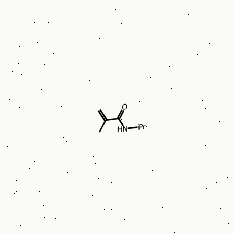 C=C(C)C(=O)N[C](C)C